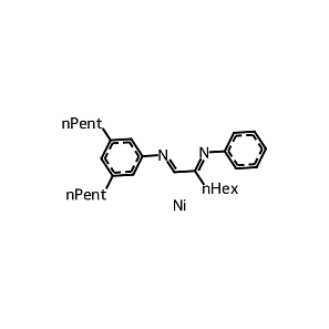 CCCCCCC(C=Nc1cc(CCCCC)cc(CCCCC)c1)=Nc1ccccc1.[Ni]